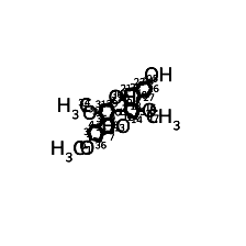 COc1ccc2c(ccc3c(-c4c(O)cc(OC)c5c4ccc4cc(O)ccc45)c(O)cc(OC)c32)c1